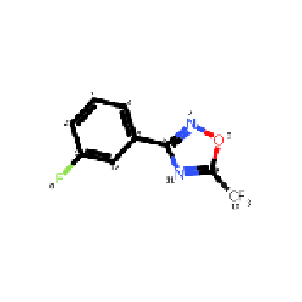 Fc1cccc(-c2noc(C(F)(F)F)n2)c1